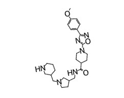 COc1ccc(-c2noc(N3CCC(C(=O)NCC4CCN(CC5CCCNC5)C4)CC3)n2)cc1